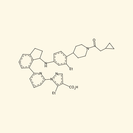 CCc1cc(NC2CCc3cccc(-c4cccc(-n5ncc(C(=O)O)c5CC)n4)c32)ccc1C1CCN(C(=O)CC2CC2)CC1